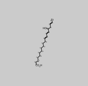 CC/C=C/CC(O)/C=C/C=C/CCCCCCCCOCC(=O)O